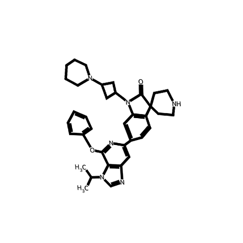 CC(C)n1cnc2cc(-c3ccc4c(c3)N(C3CC(N5CCCCC5)C3)C(=O)C43CCNCC3)nc(Oc3ccccc3)c21